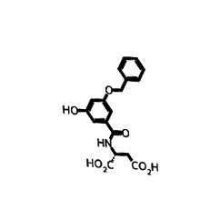 O=C(O)C[C@@H](NC(=O)c1cc(O)cc(OCc2ccccc2)c1)C(=O)O